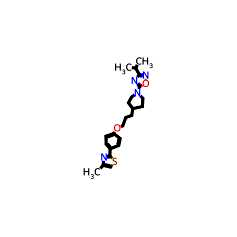 Cc1csc(-c2ccc(OCCCC3CCN(c4nc(C(C)C)no4)CC3)cc2)n1